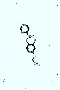 CCOc1ccc(SNc2ccncn2)c(F)c1